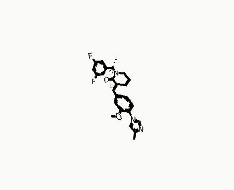 COc1cc(/C=C2\CCCN([C@@H](C)c3cc(F)cc(F)c3)C2=O)ccc1-n1cnc(C)c1